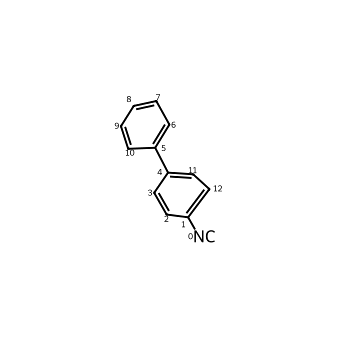 [C-]#[N+]c1ccc(-c2ccccc2)cc1